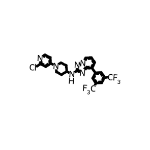 FC(F)(F)c1cc(-c2cccn3nc(NC4CCN(c5ccnc(Cl)c5)CC4)nc23)cc(C(F)(F)F)c1